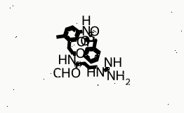 Cc1ccc(NS(=O)(=O)Cc2ccccc2)c(O)c1CC(=O)N[C@H](C=O)CCCNC(=N)N